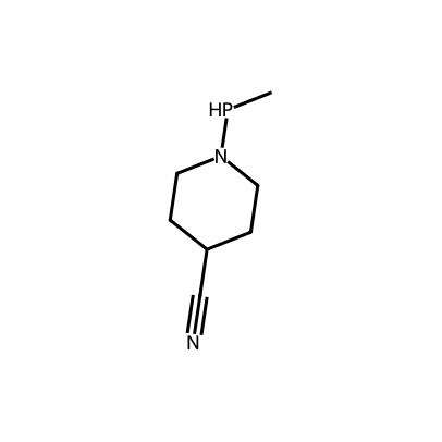 CPN1CCC(C#N)CC1